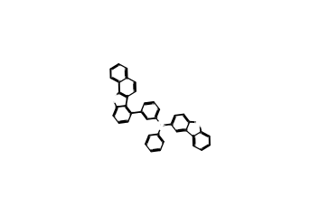 c1ccc(N(c2cccc(-c3cccc4oc5c6ccccc6ccc5c34)c2)c2ccc3oc4ccccc4c3c2)cc1